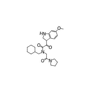 COc1ccc2c(c1)NCC2C(=O)C(=O)N(CC(=O)N1CCCC1)CC1CCCCC1